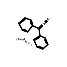 CCCCCC.[N-]=[N+]=C(c1ccccc1)c1ccccc1